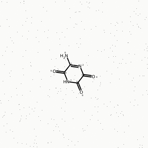 NC1=NC(=O)C(=O)NC1=O